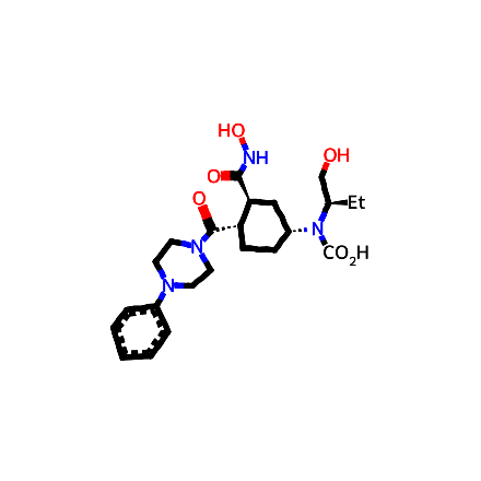 CC[C@H](CO)N(C(=O)O)[C@@H]1CC[C@H](C(=O)N2CCN(c3ccccc3)CC2)[C@@H](C(=O)NO)C1